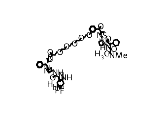 CN[C@@H](C)C(=O)N[C@H](C(=O)N1CCC[C@H]1c1nc(C(=O)c2cccc(OCCOCCOCCOCCOCCC(=O)N3CC([C@@H](c4ccccc4)n4cc(NC(=O)c5n[nH]c6c5C[C@@H]5C(F)(F)[C@]5(C)C6)cn4)C3)c2)cs1)C1CCCCC1